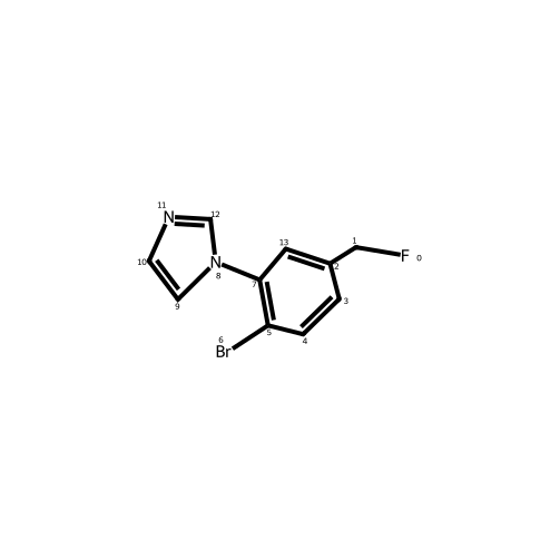 FCc1ccc(Br)c(-n2ccnc2)c1